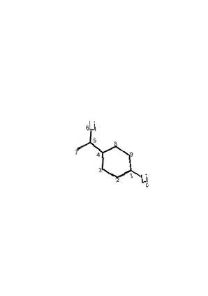 [Li][CH]1CCC([CH]([Li])C)CC1